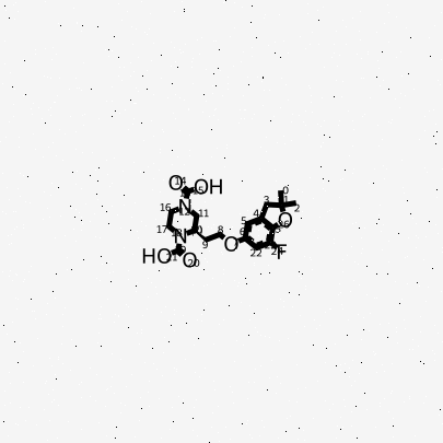 CC1(C)Cc2cc(OCC[C@@H]3CN(C(=O)O)CCN3C(=O)O)cc(F)c2O1